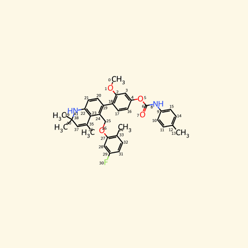 COc1cc(OC(=O)Nc2ccc(C)cc2)ccc1-c1ccc2c(c1COc1cc(F)ccc1C)C(C)=CC(C)(C)N2